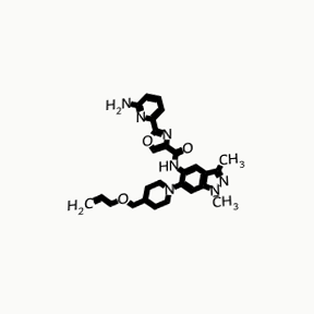 C=CCOCC1CCN(c2cc3c(cc2NC(=O)c2coc(-c4cccc(N)n4)n2)c(C)nn3C)CC1